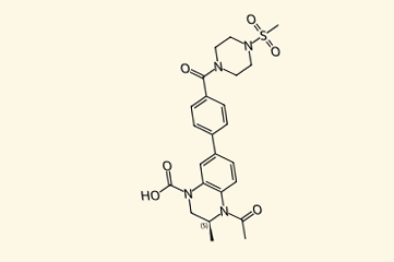 CC(=O)N1c2ccc(-c3ccc(C(=O)N4CCN(S(C)(=O)=O)CC4)cc3)cc2N(C(=O)O)C[C@@H]1C